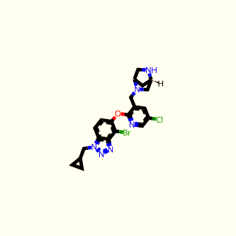 Clc1cnc(Oc2ccc3c(nnn3CC3CC3)c2Br)c(CN2C[C@H]3CC2CN3)c1